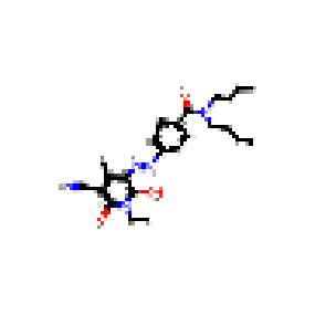 CCCCN(CCCC)C(=O)c1ccc(/N=N/c2c(C)c(C#N)c(=O)n(CC)c2O)cc1